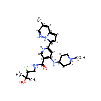 CC(C)(O)C(F)CNC(=O)c1cnc(-c2ccc3cc(C#N)cnn23)cc1NC1CCN(C(=O)O)CC1